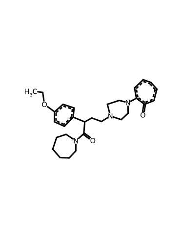 CCOc1ccc(C(CCN2CCN(c3cccccc3=O)CC2)C(=O)N2CCCCCC2)cc1